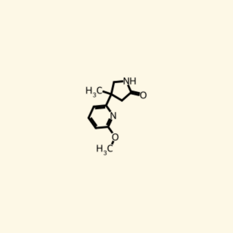 COc1cccc(C2(C)CNC(=O)C2)n1